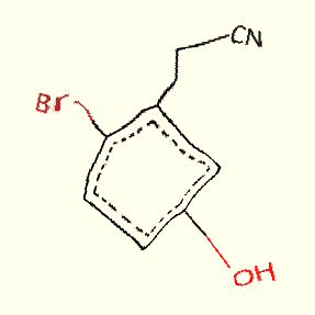 N#CCc1cc(O)ccc1Br